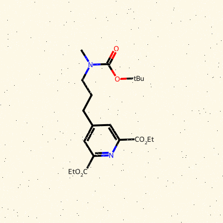 CCOC(=O)c1cc(CCCN(C)C(=O)OC(C)(C)C)cc(C(=O)OCC)n1